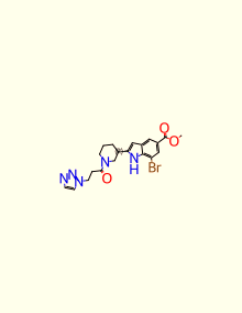 COC(=O)c1cc(Br)c2[nH]c([C@@H]3CCCN(C(=O)CCn4ccnn4)C3)cc2c1